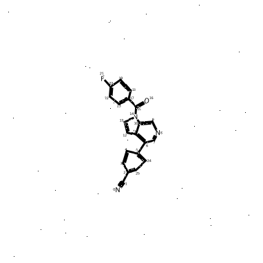 N#Cc1ccc(-c2cncc3c2ccn3C(=O)c2ccc(F)cc2)cc1